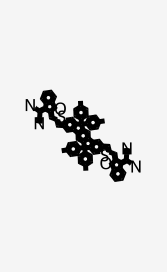 Cc1ccc(C2(c3ccc(C)cc3)c3cc4c(cc3-c3cc5cc(/C=C6\C(=O)c7ccccc7C6=C(C#N)C#N)sc5cc32)C(c2ccc(C)cc2)(c2ccc(C)cc2)c2cc3sc(/C=C5\C(=O)c6ccccc6C5=C(C#N)C#N)cc3cc2-4)cc1